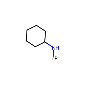 CCCNC1CCCCC1